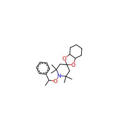 CC(ON1C(C)(C)CC2(CC1(C)C)OC1CCCCC1O2)c1ccccc1